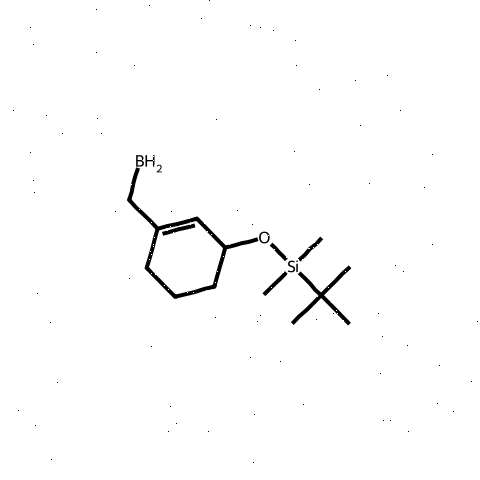 BCC1=CC(O[Si](C)(C)C(C)(C)C)CCC1